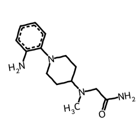 CN(CC(N)=O)C1CCN(c2ccccc2N)CC1